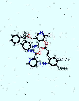 COc1cc(N)c(C=CC(=O)Oc2c(C)ncc(CO[Si](c3ccccc3)(c3ccccc3)C(C)(C)C)c2/C=N/NC(=O)c2ccccn2)cc1OC